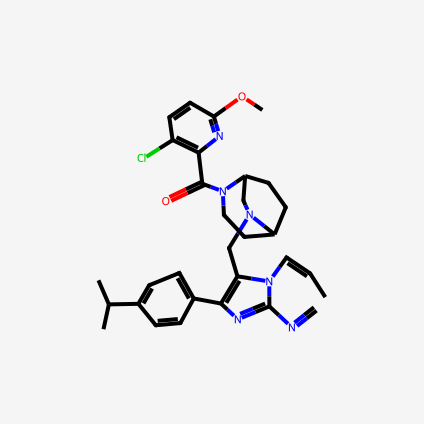 C=Nc1nc(-c2ccc(C(C)C)cc2)c(CN2CC3CCC2CCN3C(=O)c2nc(OC)ccc2Cl)n1/C=C\C